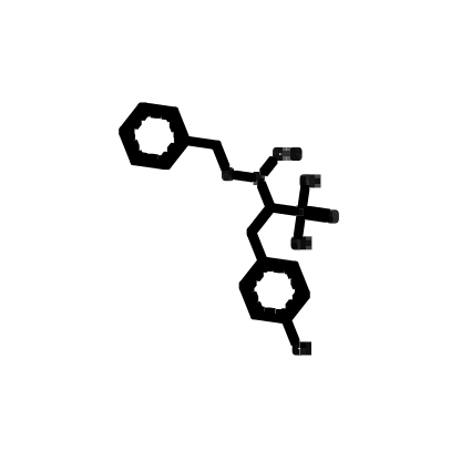 N#Cc1ccc(CC(N(C=O)OCc2ccccc2)P(=O)(O)O)cc1